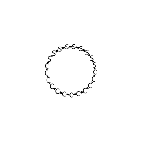 C1CCCCCCSSSSSSSSSCCCCC1